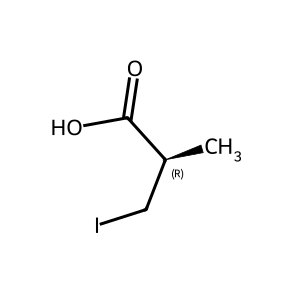 C[C@@H](CI)C(=O)O